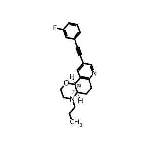 CCCN1CCO[C@H]2c3cc(C#Cc4cccc(F)c4)cnc3CC[C@H]21